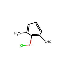 Cc1cccc(C=O)c1OCl